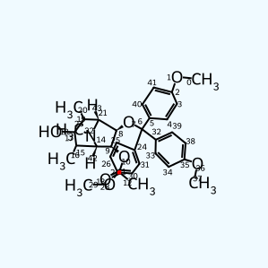 COc1ccc(C(O[C@H]2[C@@H](OC(C)=O)[C@@H]3C(C)C(O)C(C)[C@H]2N3C)(c2ccc(OC)cc2)c2ccc(OC)cc2)cc1